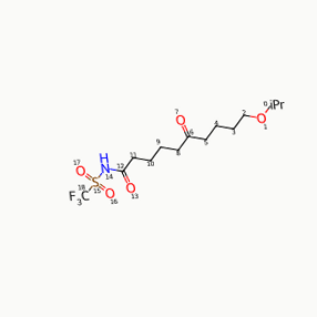 CC(C)OCCCCC(=O)CCCCC(=O)NS(=O)(=O)C(F)(F)F